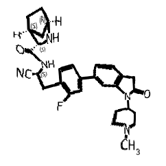 CN1CCC(N2C(=O)Cc3ccc(-c4ccc(C[C@@H](C#N)NC(=O)[C@H]5N[C@@H]6CC[C@H]5C6)c(F)c4)cc32)CC1